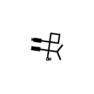 C#CC(O)(C(C)C)C1(C#N)CCC1